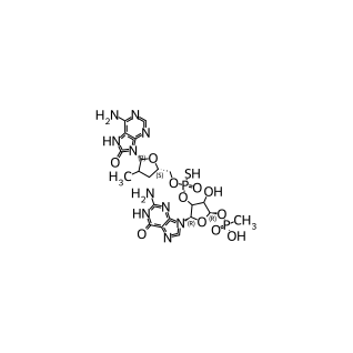 CC1C[C@@H](COP(=O)(S)OC2C(O)[C@@H](OP(C)(=O)O)O[C@H]2n2cnc3c(=O)[nH]c(N)nc32)O[C@H]1n1c(=O)[nH]c2c(N)ncnc21